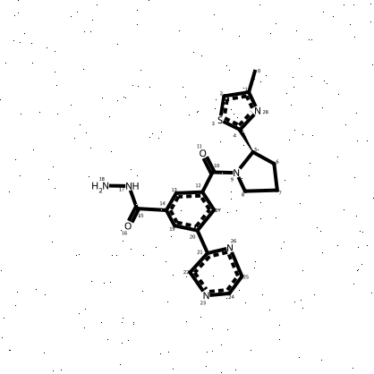 Cc1csc([C@H]2CCCN2C(=O)c2cc(C(=O)NN)cc(-c3cnccn3)c2)n1